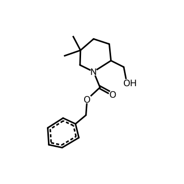 CC1(C)CCC(CO)N(C(=O)OCc2ccccc2)C1